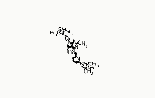 Cc1nc(NCc2cccc(N3C[C@@H](C)N[C@@H](C)C3)n2)c2c(I)cn(COCC[Si](C)(C)C)c2n1